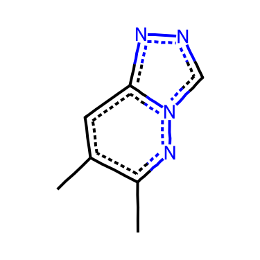 Cc1cc2nncn2nc1C